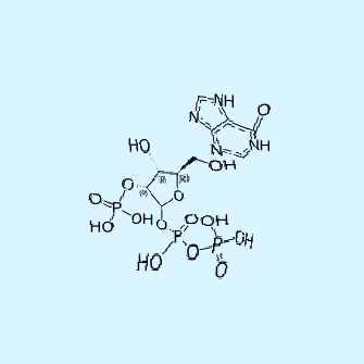 O=P(O)(O)O[C@H]1C(OP(=O)(O)OP(=O)(O)O)O[C@H](CO)[C@H]1O.O=c1[nH]cnc2nc[nH]c12